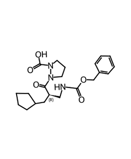 O=C(NC[C@@H](CC1CCCC1)C(=O)N1CCCN1C(=O)O)OCc1ccccc1